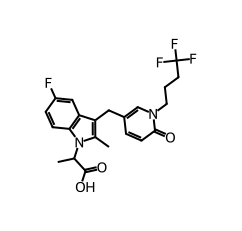 Cc1c(Cc2ccc(=O)n(CCCC(F)(F)F)c2)c2cc(F)ccc2n1C(C)C(=O)O